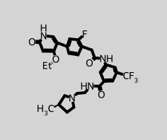 CCOc1cc(=O)[nH]cc1-c1ccc(CC(=O)Nc2cc(C(=O)NCCN3CC[C@@H](C)C3)cc(C(F)(F)F)c2)c(F)c1